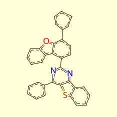 c1ccc(-c2ccc(-c3nc(-c4ccccc4)c4sc5ccccc5c4n3)c3c2oc2ccccc23)cc1